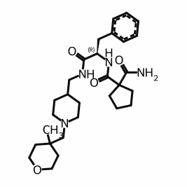 CC1(CN2CCC(CNC(=O)[C@@H](Cc3ccccc3)NC(=O)C3(C(N)=O)CCCC3)CC2)CCOCC1